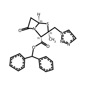 C[C@@]1(Cn2ccnn2)S[C@@H]2CC(=O)N2[C@H]1C(=O)OC(c1ccccc1)c1ccccc1